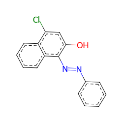 Oc1cc(Cl)c2ccccc2c1N=Nc1ccccc1